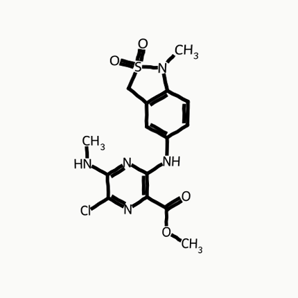 CNc1nc(Nc2ccc3c(c2)CS(=O)(=O)N3C)c(C(=O)OC)nc1Cl